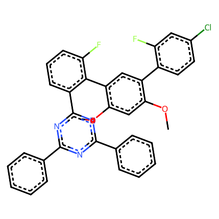 COc1cc(OC)c(-c2c(F)cccc2-c2nc(-c3ccccc3)nc(-c3ccccc3)n2)cc1-c1ccc(Cl)cc1F